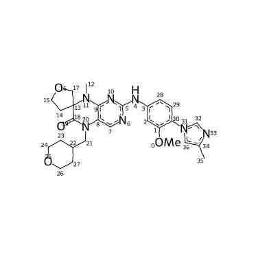 COc1cc(Nc2ncc3c(n2)N(C)C2(CCOC2)C(=O)N3CC2CCOCC2)ccc1-n1cnc(C)c1